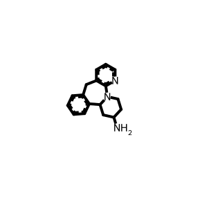 NC1CCN2c3ncccc3Cc3ccccc3C2C1